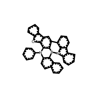 c1ccc(N2c3ccc4ccccc4c3B3c4c(cc5c(oc6ccccc65)c42)-c2cccc4c5ccccc5n3c24)cc1